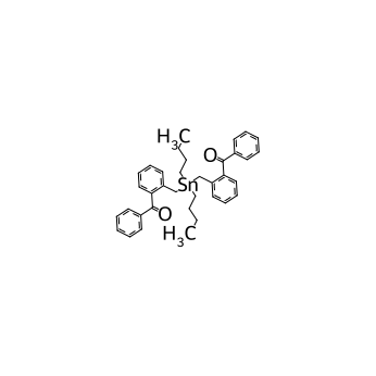 CCC[CH2][Sn]([CH2]CCC)([CH2]c1ccccc1C(=O)c1ccccc1)[CH2]c1ccccc1C(=O)c1ccccc1